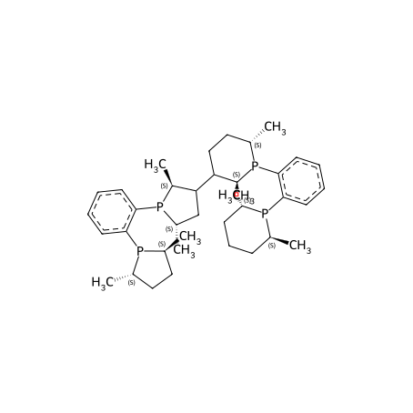 C[C@H]1CCC[C@H](C)P1c1ccccc1P1[C@@H](C)CCC(C2C[C@H](C)P(c3ccccc3P3[C@@H](C)CC[C@@H]3C)[C@H]2C)[C@@H]1C